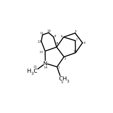 CC1C2C3CCC(C3)C23CCCCC3N1C